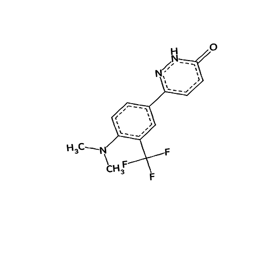 CN(C)c1ccc(-c2ccc(=O)[nH]n2)cc1C(F)(F)F